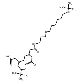 CC(C)(C)NCCCOCCOCCCNC(=O)CN(CCN(CC(=O)O)CC(=O)C(C)(C)C)CC(=O)O